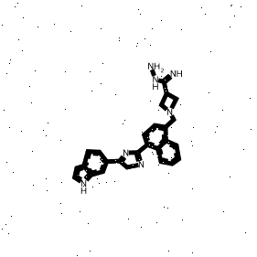 N=C(NN)C1CN(Cc2ccc(C3=NCC(c4ccc5cc[nH]c5c4)=N3)c3ccccc23)C1